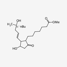 CCCC[C@](C)(O)CC=CC1C(O)CC(=O)C1CCCCCCC(=O)OC